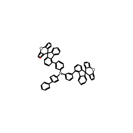 c1ccc(-c2ccc(N(c3cccc(-c4cccc5c4-c4ccccc4C54c5ccccc5Oc5ccccc54)c3)c3cccc(-c4cccc5c4-c4ccccc4C54c5ccccc5Oc5ccccc54)c3)cc2)cc1